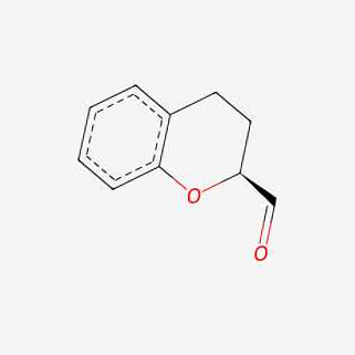 O=C[C@@H]1CCc2ccccc2O1